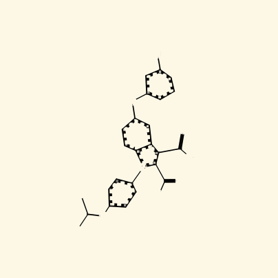 CC(C)Oc1ccc(-n2c(C(=O)O)c(C(=O)O)c3cc(Oc4cccc(Cl)c4)ccc32)cc1